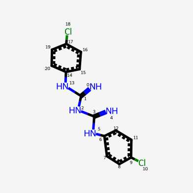 N=C(NC(=N)Nc1ccc(Cl)cc1)Nc1ccc(Cl)cc1